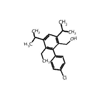 CCc1c(C(C)C)cc(C(C)C)c(CO)c1-c1ccc(Cl)cc1